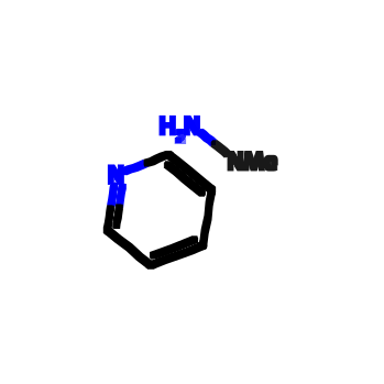 CNN.c1ccncc1